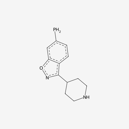 Pc1ccc2c(C3CCNCC3)noc2c1